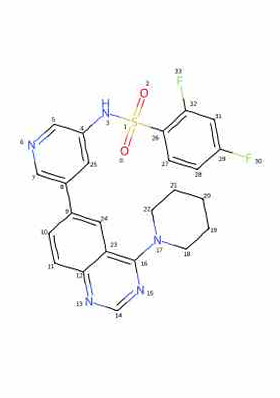 O=S(=O)(Nc1cncc(-c2ccc3ncnc(N4CCCCC4)c3c2)c1)c1ccc(F)cc1F